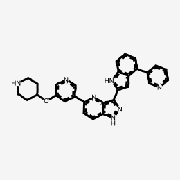 c1cncc(-c2cccc3[nH]c(-c4n[nH]c5ccc(-c6cncc(OC7CCNCC7)c6)nc45)cc23)c1